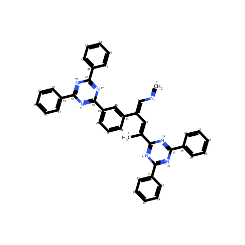 C=N/C=C(\C=C(/C)c1nc(-c2ccccc2)nc(-c2ccccc2)n1)c1cccc(-c2nc(-c3ccccc3)nc(-c3ccccc3)n2)c1